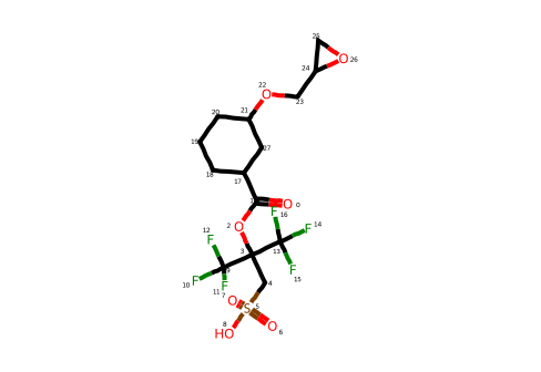 O=C(OC(CS(=O)(=O)O)(C(F)(F)F)C(F)(F)F)C1CCCC(OCC2CO2)C1